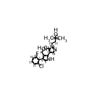 Cc1c(-c2[nH]cc(-c3c(F)cccc3Cl)c2CO)cnn1CCC(C)(C)O